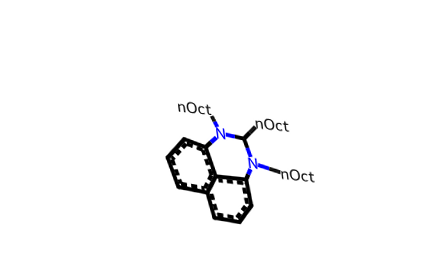 CCCCCCCCC1N(CCCCCCCC)c2cccc3cccc(c23)N1CCCCCCCC